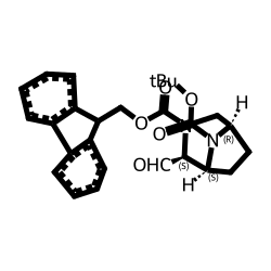 CC(C)(C)OC(=O)N1[C@@H]2CC[C@H]1[C@@H](C=O)N(C(=O)OCC1c3ccccc3-c3ccccc31)C2